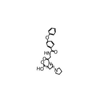 O=C(NCC(=O)N1C[C@H](N2CCCC2)C[C@H]1C(=O)O)c1ccc(Oc2ccccc2)cc1